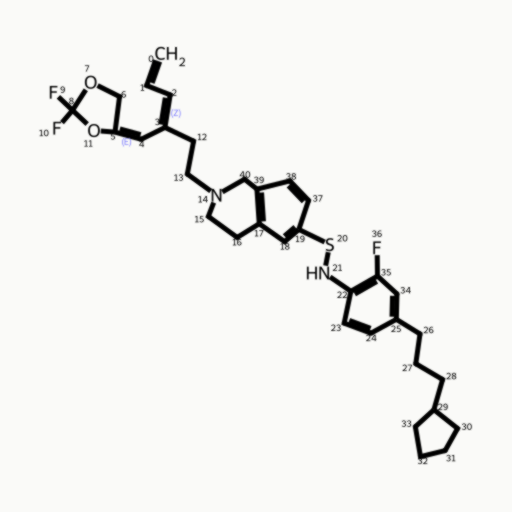 C=C/C=C(\C=C1/COC(F)(F)O1)CCN1CCc2cc(SNc3ccc(CCCC4CCCC4)cc3F)ccc2C1